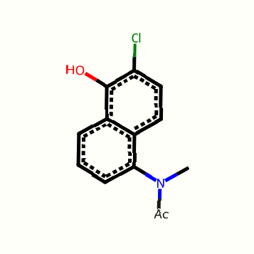 CC(=O)N(C)c1cccc2c(O)c(Cl)ccc12